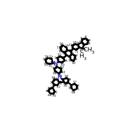 CC1(C)c2ccccc2-c2ccc(-c3c4ccccc4c(-c4ccc(N(c5ccccc5)c5ccc(-n6c7ccc(-c8ccccc8)cc7c7cc(-c8ccccc8)ccc76)cc5)cc4)c4ccccc34)cc21